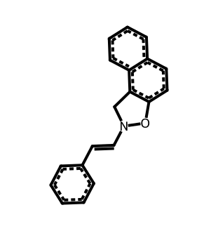 C(=CN1Cc2c(ccc3ccccc23)O1)c1ccccc1